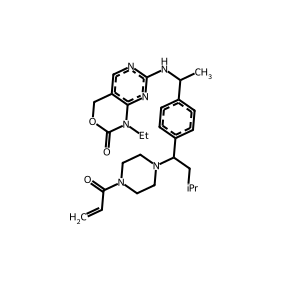 C=CC(=O)N1CCN(C(CC(C)C)c2ccc(C(C)Nc3ncc4c(n3)N(CC)C(=O)OC4)cc2)CC1